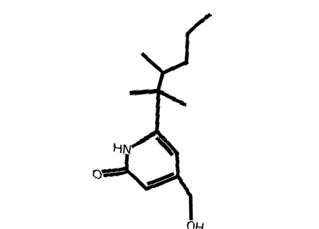 CCCC(C)C(C)(C)c1cc(CO)cc(=O)[nH]1